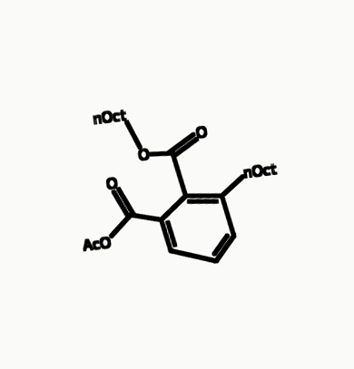 CCCCCCCCOC(=O)c1c(CCCCCCCC)cccc1C(=O)OC(C)=O